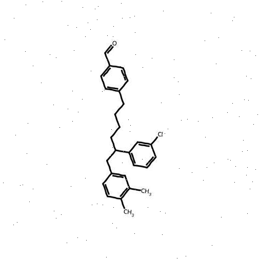 Cc1ccc(CC(CCCCc2ccc(C=O)cc2)c2cccc(Cl)c2)cc1C